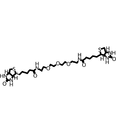 O=C(CCCCC1SC[C@H]2NC(=O)N[C@@H]12)NCCOCCOCCOCCNC(=O)CCCC[C@@H]1SC[C@@H]2NC(=O)N[C@@H]21